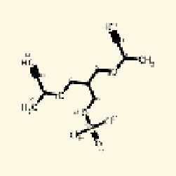 C#CC(C)OCC(COC(C)C#C)COP(=O)(Cl)Cl